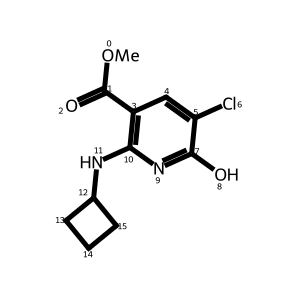 COC(=O)c1cc(Cl)c(O)nc1NC1CCC1